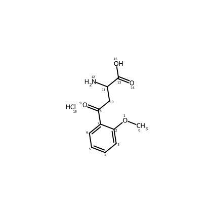 COc1ccccc1C(=O)CC(N)C(=O)O.Cl